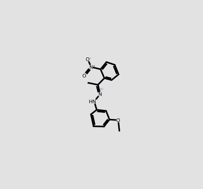 COc1cccc(N/N=C(\C)c2ccccc2[N+](=O)[O-])c1